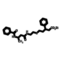 CCOC(=O)CC(CCSCCNC(=O)CC(C)NC(=O)c1ccccc1)c1ccccc1